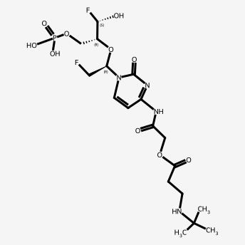 CC(C)(C)NCCC(=O)OCC(=O)Nc1ccn([C@@H](CF)O[C@H](COP(=O)(O)O)[C@@H](O)F)c(=O)n1